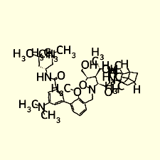 COc1c(CN2O[C@@H](CO)[C@@H]([C@H](C)O)[C@H]2C(=O)N[C@@H]2C[C@H]3C[C@@H]([C@@H]2C)C3(C)C)cccc1-c1cc(C(=O)N[C@H](CC(C)C)CN(C)C)cc(N(C)C)c1